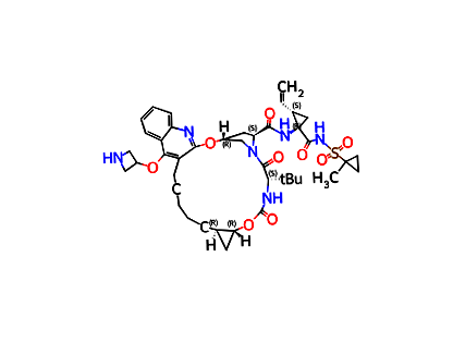 C=C[C@@H]1C[C@]1(NC(=O)[C@@H]1C[C@@H]2CN1C(=O)[C@H](C(C)(C)C)NC(=O)O[C@@H]1C[C@H]1CCCCCc1c(nc3ccccc3c1OC1CNC1)O2)C(=O)NS(=O)(=O)C1(C)CC1